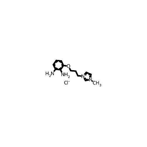 Cn1cc[n+](CCCOc2cccc(N)c2N)c1.[Cl-]